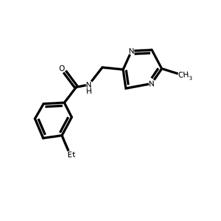 CCc1cccc(C(=O)NCc2cnc(C)cn2)c1